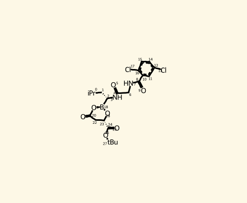 CC(C)C[C@H](NC(=O)CNC(=O)c1cc(Cl)ccc1Cl)B1OC(=O)C[C@@H](C(=O)OC(C)(C)C)O1